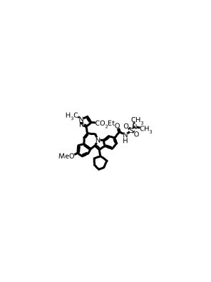 CCOC(=O)c1cn(C)nc1C1=Cc2cc(OC)ccc2-c2c(C3CCCCC3)c3ccc(C(=O)NS(=O)(=O)N(C)C)cc3n2C1